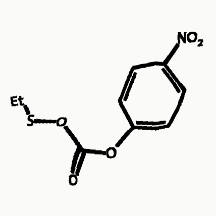 CCSOC(=O)Oc1ccc([N+](=O)[O-])cc1